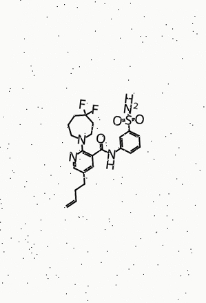 C=CCCc1cnc(N2CCCC(F)(F)CC2)c(C(=O)Nc2cccc(S(N)(=O)=O)c2)c1